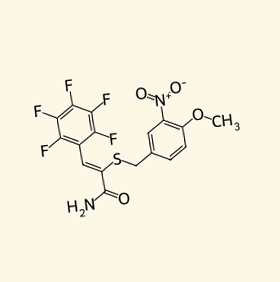 COc1ccc(CSC(=Cc2c(F)c(F)c(F)c(F)c2F)C(N)=O)cc1[N+](=O)[O-]